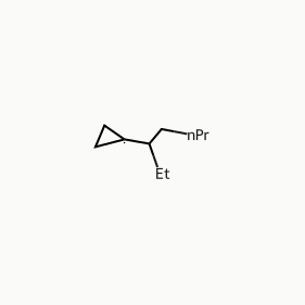 CCCCC(CC)[C]1CC1